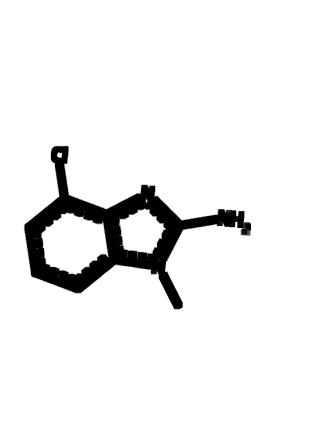 Cn1c(N)nc2c(Cl)cccc21